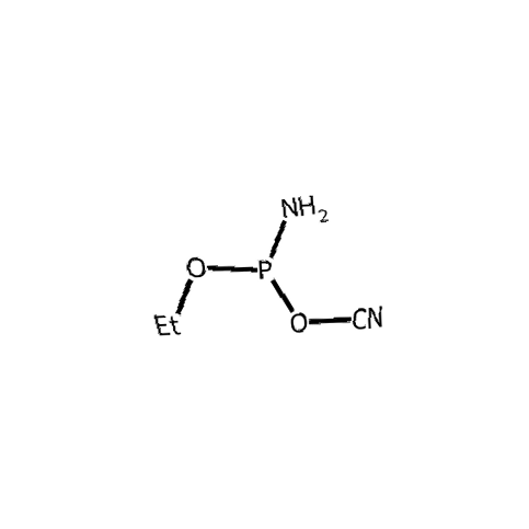 CCOP(N)OC#N